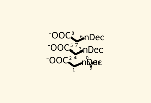 CCCCCCCCCCCC(=O)[O-].CCCCCCCCCCCC(=O)[O-].CCCCCCCCCCCC(=O)[O-].[V+3]